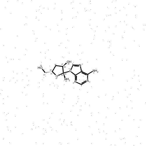 Nc1ncnc2c1ncn2[C@]1(N)O[C@H](CO)C[C@H]1O